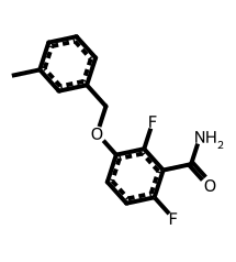 Cc1cccc(COc2ccc(F)c(C(N)=O)c2F)c1